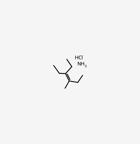 CCC(C)=C(CC)CC.Cl.N